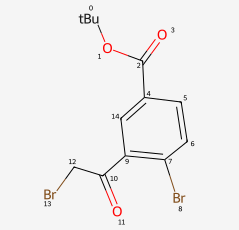 CC(C)(C)OC(=O)c1ccc(Br)c(C(=O)CBr)c1